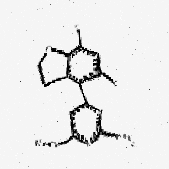 COc1cc(-c2c(Cl)cc(Cl)c3c2CCO3)nc(N)n1